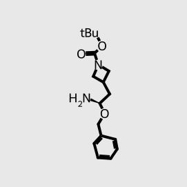 CC(C)(C)OC(=O)N1CC(C[C@H](N)OCc2ccccc2)C1